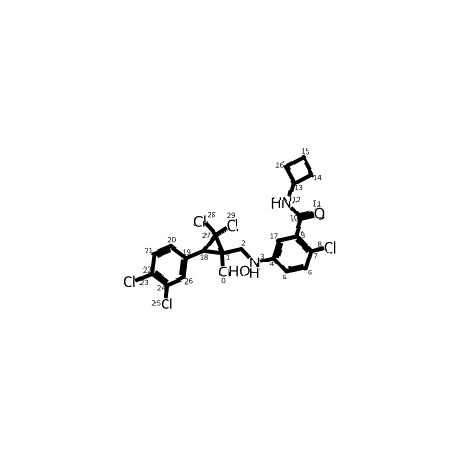 O=CC1(CNc2ccc(Cl)c(C(=O)NC3CCC3)c2)C(c2ccc(Cl)c(Cl)c2)C1(Cl)Cl